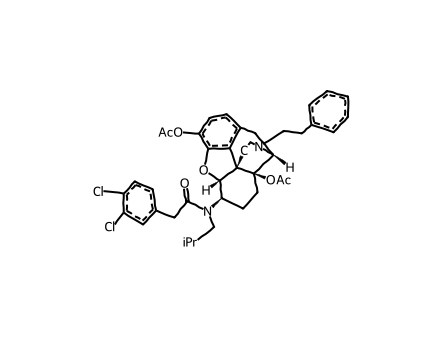 CC(=O)Oc1ccc2c3c1O[C@H]1[C@H](N(CC(C)C)C(=O)Cc4ccc(Cl)c(Cl)c4)CC[C@@]4(OC(C)=O)[C@@H](C2)N(CCc2ccccc2)CC[C@]314